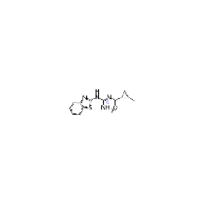 CC1CC1C(=O)/N=C(\N)Nc1nc2ccccc2s1